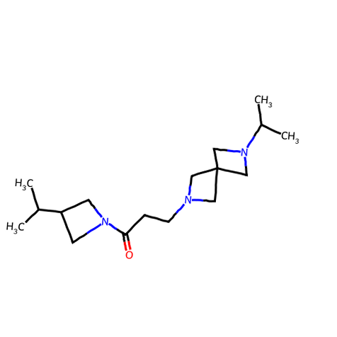 CC(C)C1CN(C(=O)CCN2CC3(C2)CN(C(C)C)C3)C1